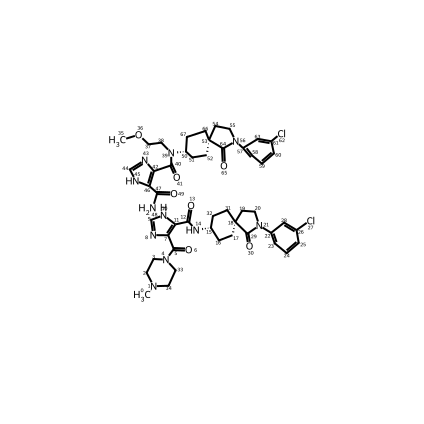 CN1CCN(C(=O)c2nc[nH]c2C(=O)N[C@H]2CC[C@@]3(CCN(c4cccc(Cl)c4)C3=O)CC2)CC1.COCCN(C(=O)c1nc[nH]c1C(N)=O)[C@H]1CC[C@@]2(CCN(c3cccc(Cl)c3)C2=O)CC1